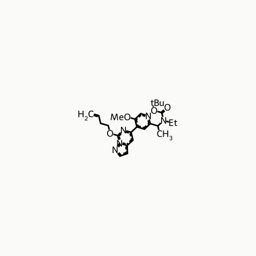 C=CCCOc1nc(-c2cc(C(C)N(CC)C(=O)OC(C)(C)C)ncc2OC)cc2ccnn12